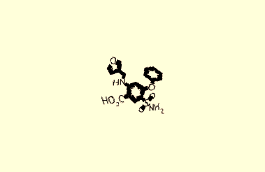 NS(=O)(=O)c1cc(C(=O)O)c(NCc2ccoc2)cc1Oc1ccccc1